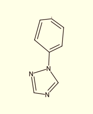 [c]1ccc(-n2cncn2)cc1